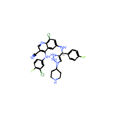 N#Cc1cnc2c(Cl)cc(N[C@H](C3=CN(C4CCNCC4)NN3)c3ccc(F)cc3)cc2c1Nc1ccc(F)c(Cl)c1